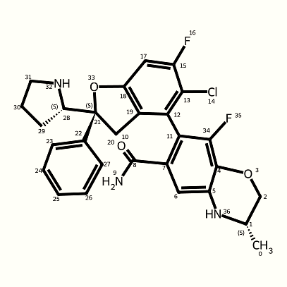 C[C@H]1COc2c(cc(C(N)=O)c(-c3c(Cl)c(F)cc4c3C[C@](c3ccccc3)([C@@H]3CCCN3)O4)c2F)N1